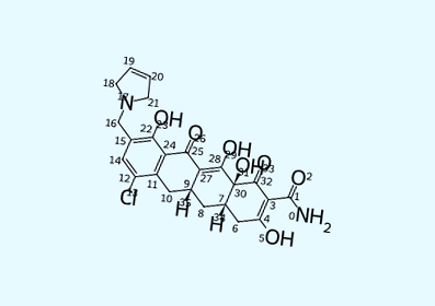 NC(=O)C1=C(O)C[C@@H]2C[C@@H]3Cc4c(Cl)cc(CN5CC=CC5)c(O)c4C(=O)C3=C(O)[C@]2(O)C1=O